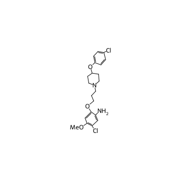 COc1cc(OCCCN2CCC(Oc3ccc(Cl)cc3)CC2)c(N)cc1Cl